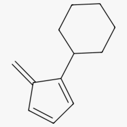 C=C1C=CC=C1C1CCCCC1